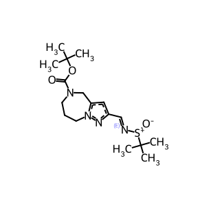 CC(C)(C)OC(=O)N1CCCn2nc(/C=N/[S+]([O-])C(C)(C)C)cc2C1